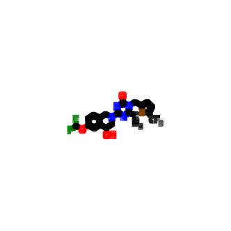 Cc1nc(N2Cc3ccc(OC(F)F)cc3C(O)C2)nc(=O)n1Cc1ccc(C(F)(F)F)s1